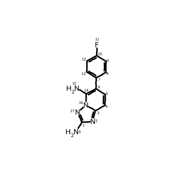 Nc1nc2ccc(-c3ccc(F)cc3)c(N)n2n1